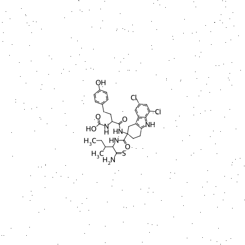 CCC(C)C(NC(=O)C1(NC(=O)C(CCc2ccc(O)cc2)NC(=O)O)CCc2[nH]c3c(Cl)cc(Cl)cc3c2C1)C(N)=S